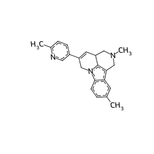 Cc1ccc2c(c1)c1c3n2CC(c2ccc(C)nc2)=CC3CN(C)C1